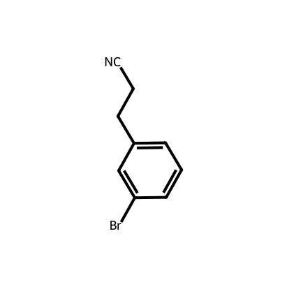 N#CCCc1cccc(Br)c1